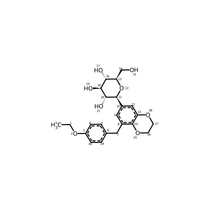 CCOc1ccc(Cc2cc([C@@H]3O[C@H](CO)[C@@H](O)[C@H](O)[C@H]3O)cc3c2OCCO3)cc1